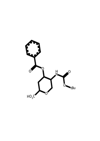 CC(C)(C)OC(=O)NC1COC(C(=O)O)CC1OC(=O)c1ccccc1